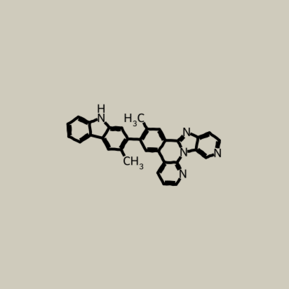 Cc1cc2c(cc1-c1cc3c4cccnc4n4c5cnccc5nc4c3cc1C)[nH]c1ccccc12